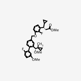 COC(=O)C[C@H](c1cccc(OCc2ccc(-c3cc(OC)ccc3F)c([C@@H](OC)C3(C)CC3)c2)c1F)C1CC1